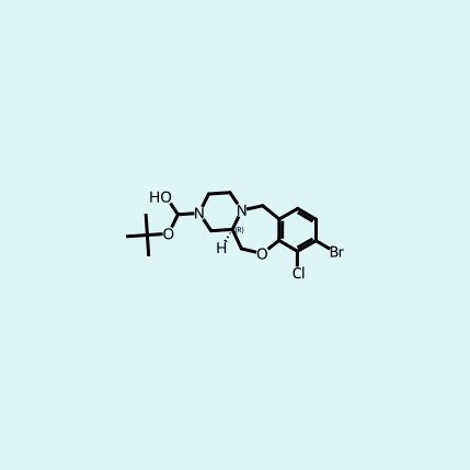 CC(C)(C)OC(O)N1CCN2Cc3ccc(Br)c(Cl)c3OC[C@H]2C1